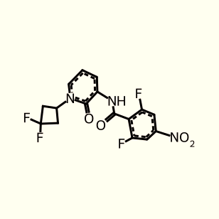 O=C(Nc1cccn(C2CC(F)(F)C2)c1=O)c1c(F)cc([N+](=O)[O-])cc1F